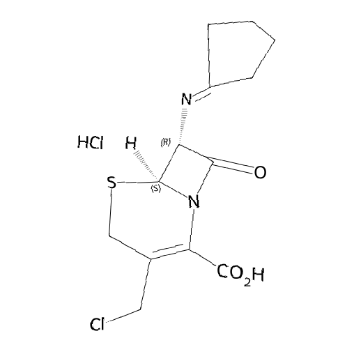 Cl.O=C(O)C1=C(CCl)CS[C@H]2[C@H](N=C3CCCC3)C(=O)N12